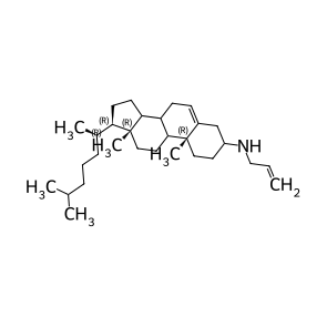 C=CCNC1CC[C@@]2(C)C(=CCC3C2CC[C@@]2(C)C3CC[C@@H]2[C@H](C)CCCC(C)C)C1